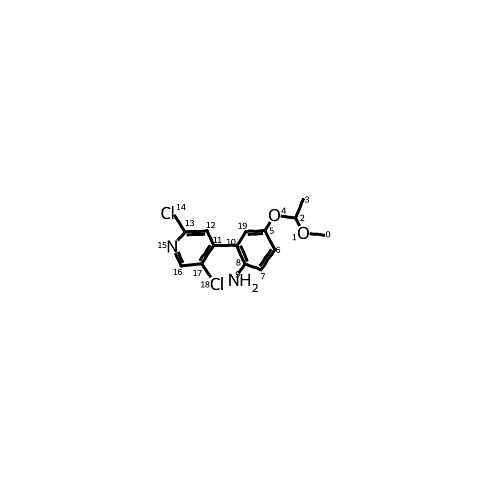 COC(C)Oc1ccc(N)c(-c2cc(Cl)ncc2Cl)c1